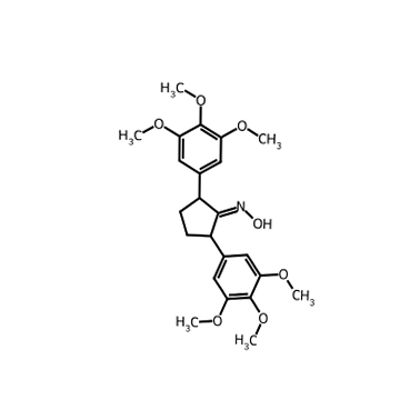 COc1cc(C2CCC(c3cc(OC)c(OC)c(OC)c3)C2=NO)cc(OC)c1OC